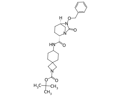 CC(C)(C)OC(=O)N1CC2(CCC(NC(=O)[C@@H]3CC[C@@H]4CN3C(=O)N4OCc3ccccc3)CC2)C1